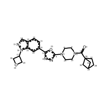 O=C(N1CCN(c2nnc(-c3ccc4cnn(C5COC5)c4c3)o2)CC1)C12CCC(C1)C2